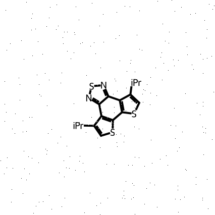 CC(C)c1csc2c3scc(C(C)C)c3c3nsnc3c12